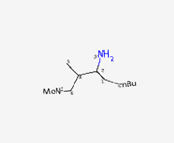 CCCCCC(N)C(C)CNC